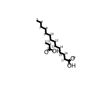 CCC(=O)O.CCCCCCCCCCCCCC(=O)O